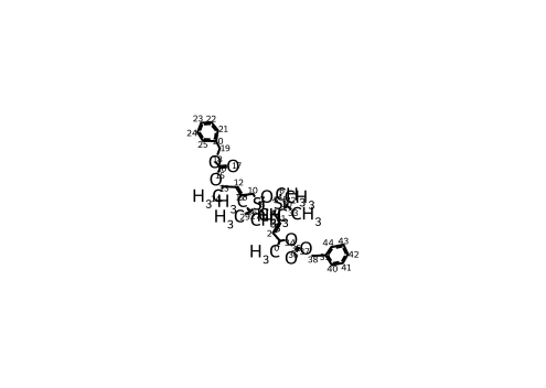 CC(C=CC[Si](C)(O[Si](C)(CC=CC(C)OC(=O)OCc1ccccc1)C(C)(C)C)C(C)(C)C)OC(=O)OCc1ccccc1